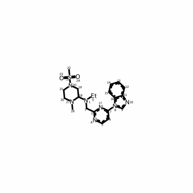 CCN(Cc1nccc(-n2cnc3ccccc32)n1)C1CN(S(C)(=O)=O)CCN1C